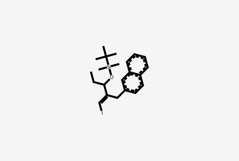 CCC(O[Si](C)(C)C(C)(C)C)/C(=C/I)Cc1ccc2ccccc2c1